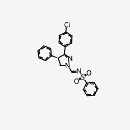 O=S(=O)(/N=C/N1C[C@@H](c2ccccc2)C(c2ccc(Cl)cc2)=N1)c1ccccc1